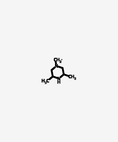 [CH2]N1CC(C)NC(C)C1